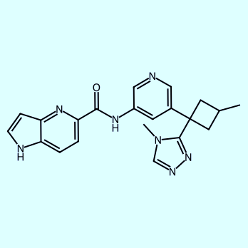 CC1CC(c2cncc(NC(=O)c3ccc4[nH]ccc4n3)c2)(c2nncn2C)C1